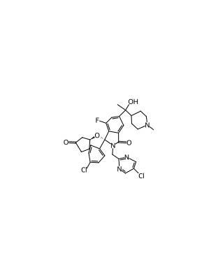 CN1CCC(C(C)(O)c2cc(F)c3c(c2)C(=O)N(Cc2ncc(Cl)cn2)[C@@]3(O[C@H]2CCC(=O)C2)c2ccc(Cl)cc2)CC1